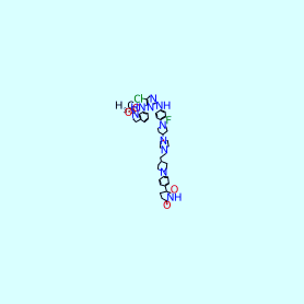 CS(=O)(=O)N1CCc2cccc(Nc3nc(Nc4ccc(N5CCC(N6CCN(CCC7CCN(c8ccc(C9CCC(=O)NC9=O)cc8)CC7)CC6)CC5)c(F)c4)ncc3Cl)c21